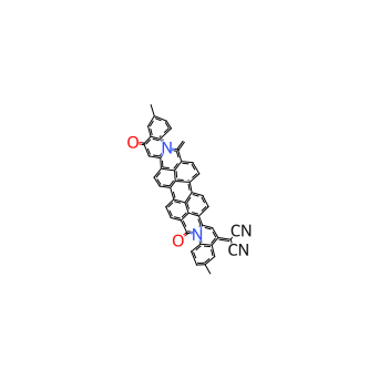 C=c1c2ccc3c4ccc5c6c(ccc(c7ccc(c2c73)c2cc(=O)c3cc(C)ccc3n12)c46)c(=O)n1c2ccc(C)cc2c(=C(C#N)C#N)cc51